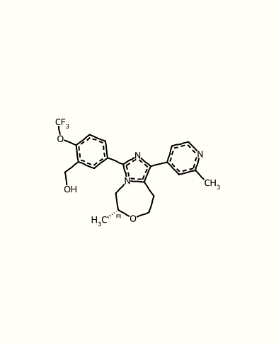 Cc1cc(-c2nc(-c3ccc(OC(F)(F)F)c(CO)c3)n3c2CCO[C@H](C)C3)ccn1